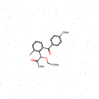 COCOC(C(=O)OC)c1c(I)cccc1C(=O)c1ccc(OC)cc1